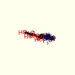 O=C(OCCOC(=O)[C@@H](O)CCCCO)c1ccc(Oc2nccn3c(-c4conc4C(F)(F)F)cnc23)cc1O